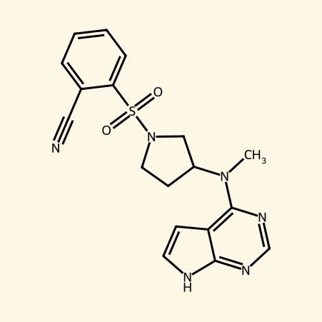 CN(c1ncnc2[nH]ccc12)C1CCN(S(=O)(=O)c2ccccc2C#N)C1